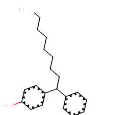 CCCCCCCCC(c1ccccc1)c1ccc(O)cc1